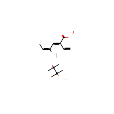 C=C/C(=C\C(BOC(C)(C)C(C)(C)P)=C/C)C(=O)OC